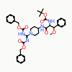 COC(c1ccccc1)C(NC(=O)OC(C)(C)C)C(=O)NC1CCN(C(=NC(=O)OCc2ccccc2)NC(=O)OCc2ccccc2)CC1